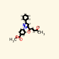 COC(=O)c1ccc(-n2nc(-c3ccccc3)cc2C(=O)C=CC(C)=O)cc1